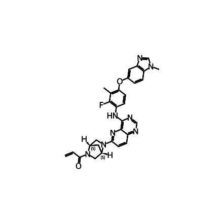 C=CC(=O)N1C[C@@H]2C[C@H]1CN2c1ccc2ncnc(Nc3ccc(Oc4ccc5c(c4)ncn5C)c(C)c3F)c2n1